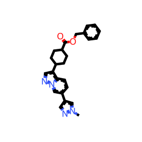 Cn1cc(-c2ccc3c(C4CCC(C(=O)OCc5ccccc5)CC4)cnn3c2)cn1